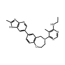 CCNc1ncnc(N2CCOc3ccc(-c4cnc5nc(C)[nH]c5c4)cc3C2)c1C